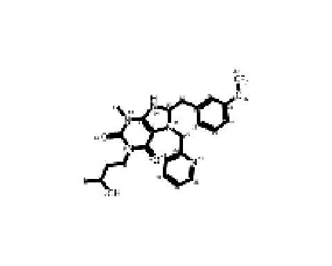 CC(O)CCn1c(=O)c2c(n(C)c1=O)NC(Cc1cccc(OC(F)(F)F)c1)N2Cc1ccccn1